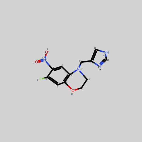 O=[N+]([O-])c1cc2c(cc1F)OCCN2Cc1c[nH]cn1